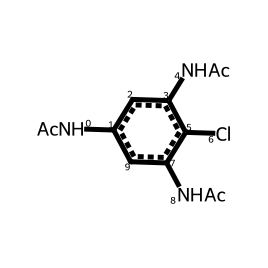 CC(=O)Nc1cc(NC(C)=O)c(Cl)c(NC(C)=O)c1